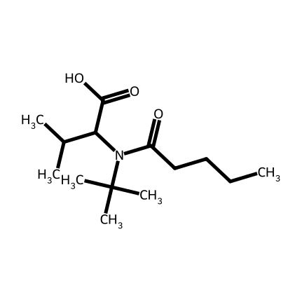 CCCCC(=O)N(C(C(=O)O)C(C)C)C(C)(C)C